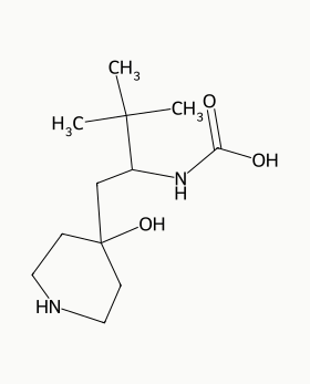 CC(C)(C)C(CC1(O)CCNCC1)NC(=O)O